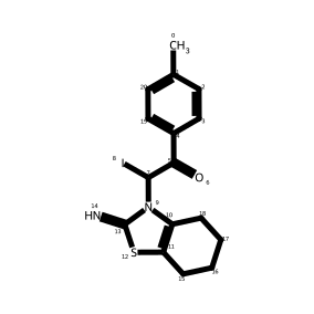 Cc1ccc(C(=O)C(I)n2c3c(sc2=N)CCCC3)cc1